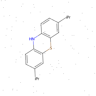 CC(C)c1ccc2c(c1)Sc1cc(C(C)C)ccc1N2